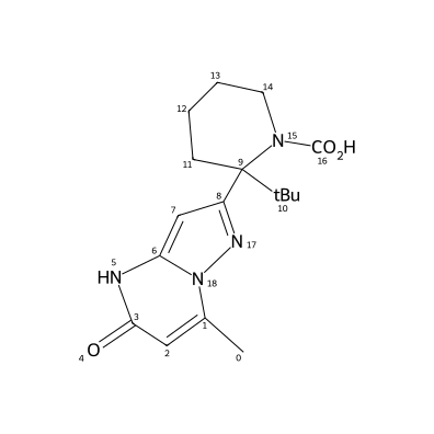 Cc1cc(=O)[nH]c2cc(C3(C(C)(C)C)CCCCN3C(=O)O)nn12